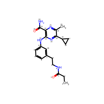 C[CH]C(=O)NCCc1cccc(Nc2nc(C3CC3)c(C)nc2C(N)=O)c1